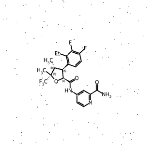 CCc1c([C@H]2[C@@H](C(=O)Nc3ccnc(C(N)=O)c3)O[C@](C)(C(F)(F)F)[C@@H]2C)ccc(F)c1F